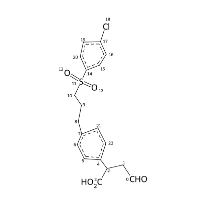 O=CCC(C(=O)O)c1ccc(CCCS(=O)(=O)c2ccc(Cl)cc2)cc1